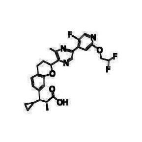 Cc1nc(-c2cc(OCC(F)F)ncc2F)cnc1C1CCc2ccc(C(C3CC3)[C@H](C)C(=O)O)cc2O1